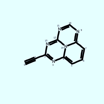 C#CC1=NC2=CC=CC3=NC=NC(=N1)N23